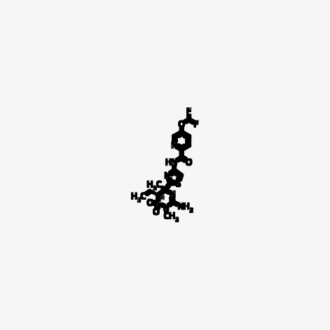 CC[C@H]1[C@](C)(c2nc(NC(=O)c3ccc(OC(F)F)cn3)cs2)N=C(N)N(C)S1(=O)=O